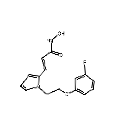 O=C(C=Cc1cccn1CCOc1cccc(F)c1)NO